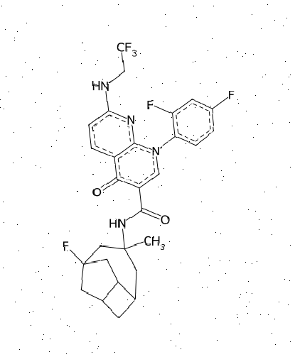 CC1(NC(=O)c2cn(-c3ccc(F)cc3F)c3nc(NCC(F)(F)F)ccc3c2=O)CC2CC3CC(F)(CC32)C1